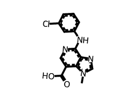 Cn1cnc2c(Nc3cccc(Cl)c3)ncc(C(=O)O)c21